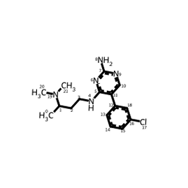 CC(CCNc1nc(N)ncc1-c1cccc(Cl)c1)N(C)C